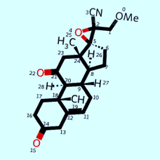 COCC1(C#N)O[C@@]12CC[C@H]1[C@@H]3CC=C4CC(=O)CC[C@]4(C)[C@H]3C(=O)C[C@@]12C